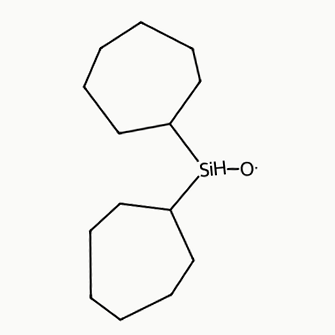 [O][SiH](C1CCCCCC1)C1CCCCCC1